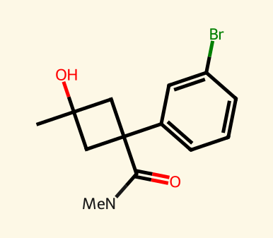 CNC(=O)C1(c2cccc(Br)c2)CC(C)(O)C1